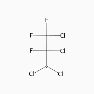 FC(F)(Cl)C(F)(Cl)[C](Cl)Cl